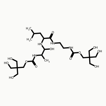 CC(C)CC(NC(O)C(C)NC(=O)OCC(CO)(CO)CO)C(=O)NCCNC(=O)OCC(CO)(CO)CO